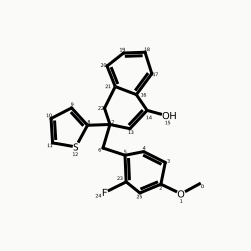 COc1ccc(CC2(c3cccs3)C=C(O)c3ccccc3C2)c(F)c1